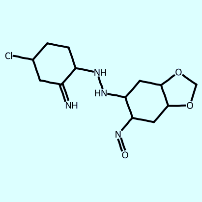 N=C1CC(Cl)CCC1NNC1CC2OCOC2CC1N=O